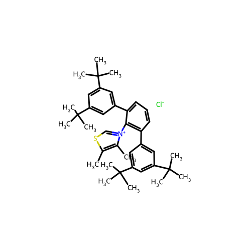 Cc1sc[n+](-c2c(-c3cc(C(C)(C)C)cc(C(C)(C)C)c3)cccc2-c2cc(C(C)(C)C)cc(C(C)(C)C)c2)c1C.[Cl-]